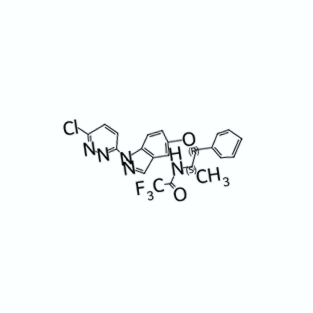 C[C@H](NC(=O)C(F)(F)F)[C@H](Oc1ccc2c(cnn2-c2ccc(Cl)nn2)c1)c1ccccc1